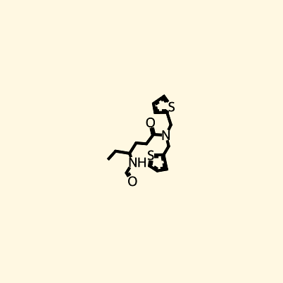 CCC(CCC(=O)N(Cc1cccs1)Cc1cccs1)NC=O